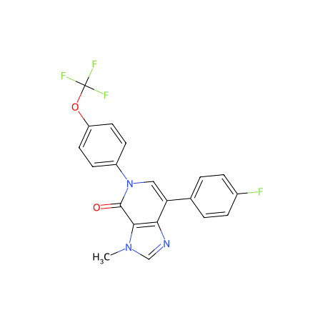 Cn1cnc2c(-c3ccc(F)cc3)cn(-c3ccc(OC(F)(F)F)cc3)c(=O)c21